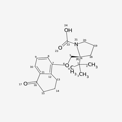 CC(C)(C)[C@@]1(COc2cccc3c2CCCC3=O)CCCN1C(=O)O